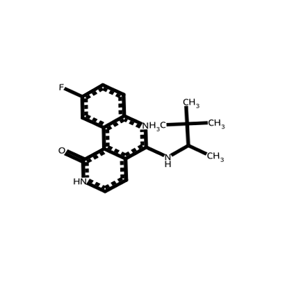 CC(Nc1nc2ccc(F)cc2c2c(=O)[nH]ccc12)C(C)(C)C